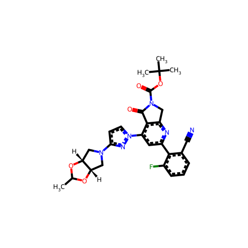 CC1O[C@H]2CN(c3ccn(-c4cc(-c5c(F)cccc5C#N)nc5c4C(=O)N(C(=O)OC(C)(C)C)C5)n3)C[C@H]2O1